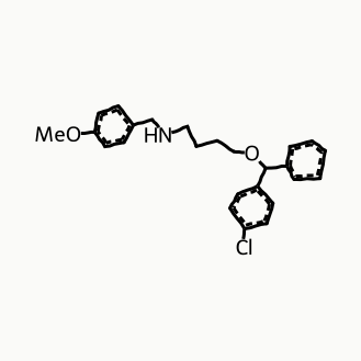 COc1ccc(CNCCCCOC(c2ccccc2)c2ccc(Cl)cc2)cc1